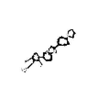 OCc1c(F)ccc(-c2ccc3nc(-c4ccc(N5CCCC5)cc4)cn3c2)c1F